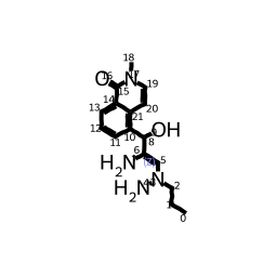 CCCN(N)/C=C(\N)C(O)c1cccc2c(=O)n(C)ccc12